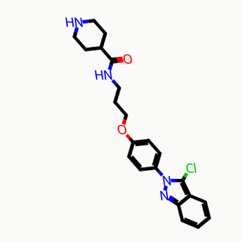 O=C(NCCCOc1ccc(-n2nc3ccccc3c2Cl)cc1)C1CCNCC1